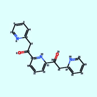 O=C(Cc1ccccn1)c1cccc(C(=O)Cc2ccccn2)n1